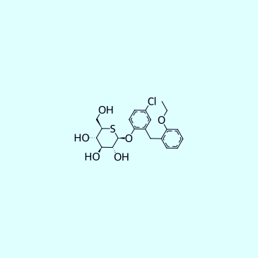 CCOc1ccccc1Cc1cc(Cl)ccc1O[C@@H]1S[C@H](CO)[C@@H](O)[C@H](O)[C@H]1O